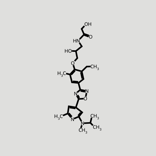 CCc1cc(-c2noc(-c3cc(C)nc(N(C)C(C)C)c3)n2)cc(C)c1OCC(O)CNC(=O)CO